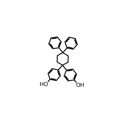 Oc1ccc(C2(c3ccc(O)cc3)CCC(c3ccccc3)(c3ccccc3)CC2)cc1